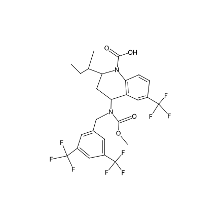 CCC(C)C1CC(N(Cc2cc(C(F)(F)F)cc(C(F)(F)F)c2)C(=O)OC)c2cc(C(F)(F)F)ccc2N1C(=O)O